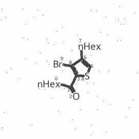 CCCCCCC(=O)c1scc(CCCCCC)c1Br